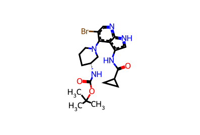 CC(C)(C)OC(=O)N[C@@H]1CCCN(c2c(Br)cnc3[nH]cc(NC(=O)C4CC4)c23)C1